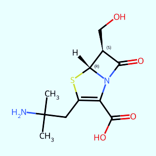 CC(C)(N)CC1=C(C(=O)O)N2C(=O)[C@H](CO)[C@H]2S1